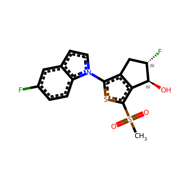 CS(=O)(=O)c1sc(-n2ccc3cc(F)ccc32)c2c1[C@H](O)[C@@H](F)C2